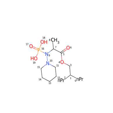 CCCC(CCC)COC(=O)C(C)N(N1CCCCC1)P(=O)(O)O